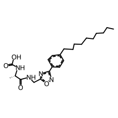 CCCCCCCCCCc1ccc(-c2noc(CNC(=O)[C@H](C)NC(=O)O)n2)cc1